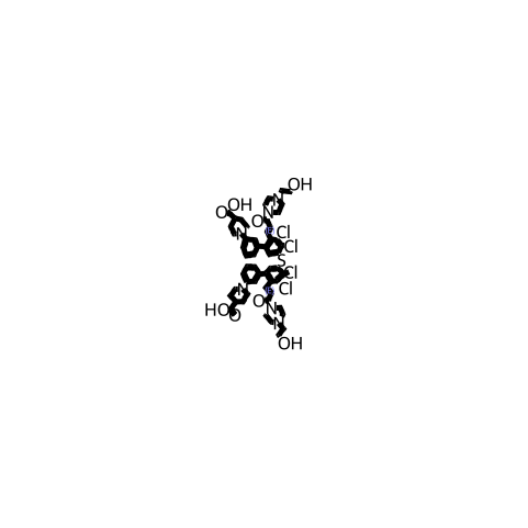 O=C(O)C1CCN(c2cccc(-c3cc(Sc4cc(-c5cccc(N6CCC(C(=O)O)CC6)c5)c(/C=C/C(=O)N5CCN(CCO)CC5)c(Cl)c4Cl)c(Cl)c(Cl)c3/C=C/C(=O)N3CCN(CCO)CC3)c2)CC1